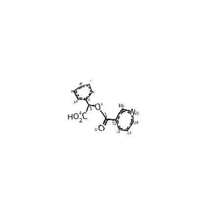 O=C(OC(C(=O)O)c1ccccc1)c1cccnc1